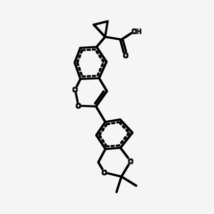 CC1(C)OCc2cc(C3=Cc4cc(C5(C(=O)O)CC5)ccc4OO3)ccc2O1